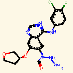 NNN(C=O)c1cc2c(Nc3ccc(F)c(Cl)c3)ncnc2cc1O[C@H]1CCOC1